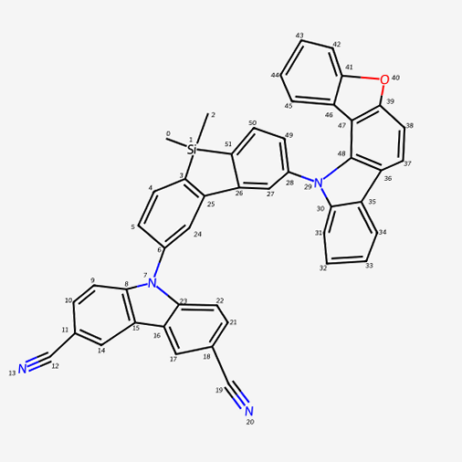 C[Si]1(C)c2ccc(-n3c4ccc(C#N)cc4c4cc(C#N)ccc43)cc2-c2cc(-n3c4ccccc4c4ccc5oc6ccccc6c5c43)ccc21